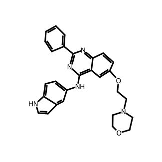 c1ccc(-c2nc(Nc3ccc4[nH]ccc4c3)c3cc(OCCN4CCOCC4)ccc3n2)cc1